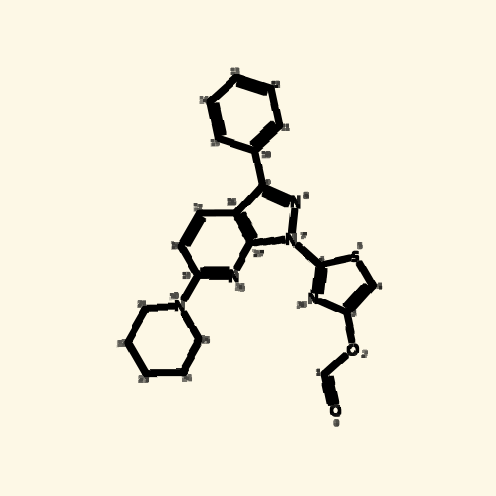 O=COc1csc(-n2nc(-c3ccccc3)c3ccc(N4CCCCC4)nc32)n1